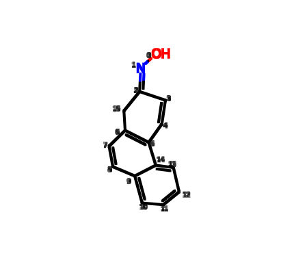 ON=C1C=Cc2c(ccc3ccccc23)C1